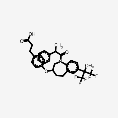 CC(C(=O)N1CC(Oc2ccc(CCC(=O)O)cc2)CCc2cc(C(O)(C(F)(F)F)C(F)(F)F)ccc21)c1ccccc1